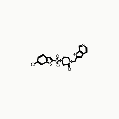 O=C1CN(S(=O)(=O)c2cc3ccc(Cl)cc3s2)CCN1CC1=Cc2ccncc2[N]1